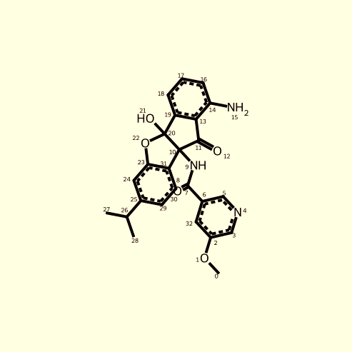 COc1cncc(C(=O)NC23C(=O)c4c(N)cccc4C2(O)Oc2cc(C(C)C)ccc23)c1